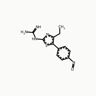 CCc1nc(NC(=N)N)sc1-c1ccc(N=O)cc1